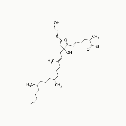 CCC(=O)C(C)CCC=CC(=O)C(O)(C/C=C(\C)CCC[C@H](C)CCC[C@H](C)CCCC(C)C)CSSCCO